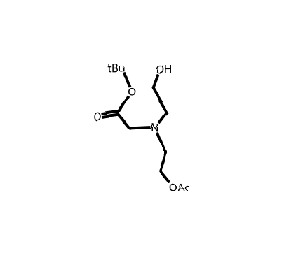 CC(=O)OCCN(CCO)CC(=O)OC(C)(C)C